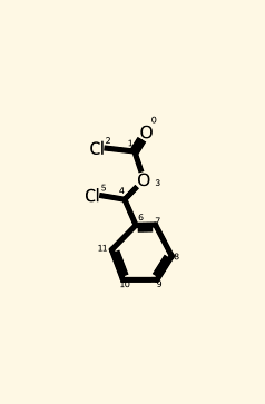 O=C(Cl)OC(Cl)c1ccccc1